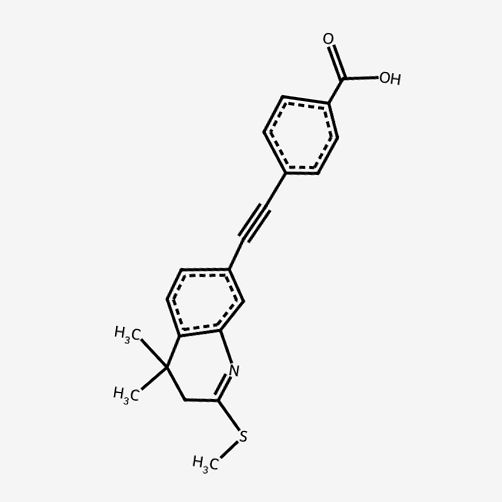 CSC1=Nc2cc(C#Cc3ccc(C(=O)O)cc3)ccc2C(C)(C)C1